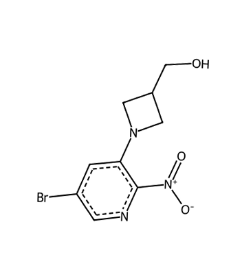 O=[N+]([O-])c1ncc(Br)cc1N1CC(CO)C1